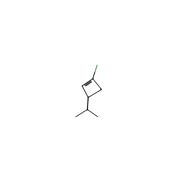 CC(C)C1C=C(Cl)C1